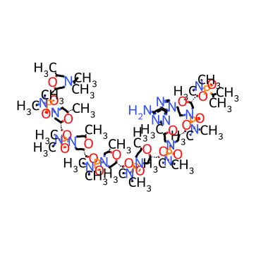 CC(C)N1C[C@@H](COP(=O)(N(C)C)N2C[C@@H](COP(=O)(N(C)C)N3C[C@@H](COP(=O)(N(C)C)N4C[C@@H](COP(=O)(N(C)C)N5C[C@@H](COP(=O)(N(C)C)N6C[C@@H](COP(=O)(N(C)C)N7C[C@@H](COP(=O)(C(C)C)N(C)C)O[C@@H](n8cnc9c(N)ncnc98)C7)O[C@@H](C)C6)O[C@@H](C)C5)O[C@@H](C)C4)O[C@@H](C)C3)O[C@@H](C)C2)O[C@@H](C)C1